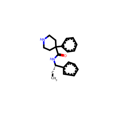 CC[C@H](NC(=O)C1(c2ccccc2)CCNCC1)c1ccccc1